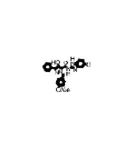 COc1ccc(Cn2nc(-c3ccccc3)c(O)c2C(=O)Nc2nc3cc(Cl)ccc3[nH]2)cc1